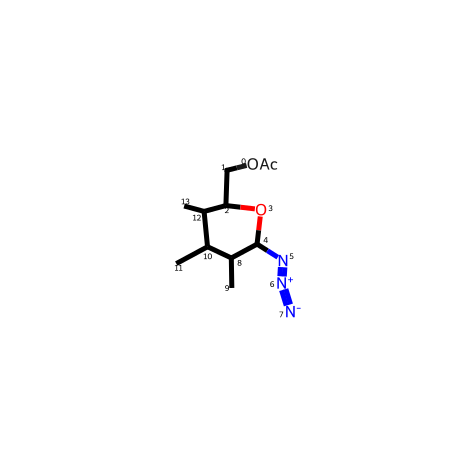 CC(=O)OCC1OC(N=[N+]=[N-])C(C)C(C)C1C